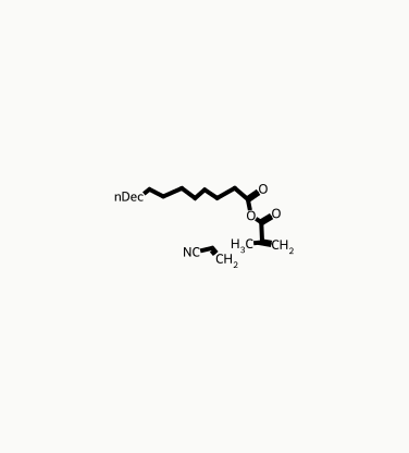 C=C(C)C(=O)OC(=O)CCCCCCCCCCCCCCCCC.C=CC#N